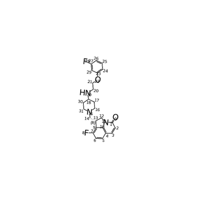 O=c1ccc2ccc(F)c3c2n1C[C@H]3CN1CCC(NCCOc2cccc(F)c2)CC1